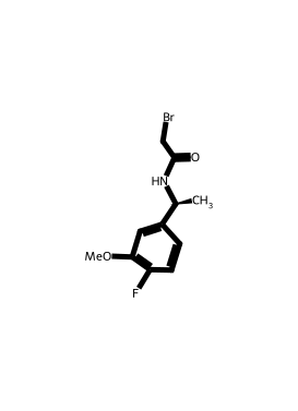 COc1cc([C@H](C)NC(=O)CBr)ccc1F